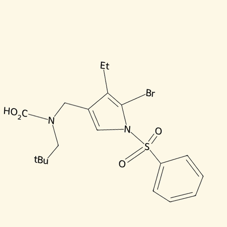 CCc1c(CN(CC(C)(C)C)C(=O)O)cn(S(=O)(=O)c2ccccc2)c1Br